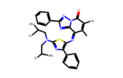 CCCCC(CC)CN(CC(CC)CCCC)c1nc(-c2ccccc2)c(/N=C2/C(C)=C(C#N)C(=O)n3nc(-c4ccccc4)nc32)s1